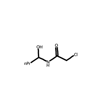 CCCC(O)NC(=O)CCl